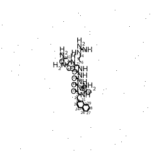 N=C(N)NCCC[C@H](NC(=O)NC(=O)NC(=O)NC(=O)[C@H](Cc1ccc2ccccc2c1)NC(=O)SN)C(=O)N[C@@H](CC(N)=O)C(N)=O